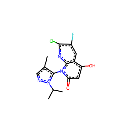 Cc1cnn(C(C)C)c1-n1c(=O)cc(O)c2cc(F)c(Cl)nc21